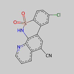 N#Cc1cc2c(c3ncccc13)NS(=O)(=O)c1ccc(Cl)cc1-2